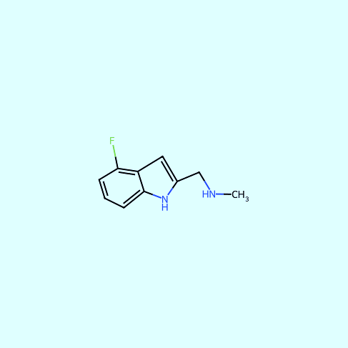 CNCc1cc2c(F)cccc2[nH]1